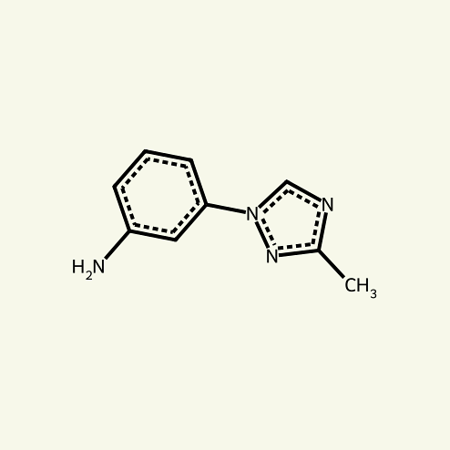 Cc1ncn(-c2cccc(N)c2)n1